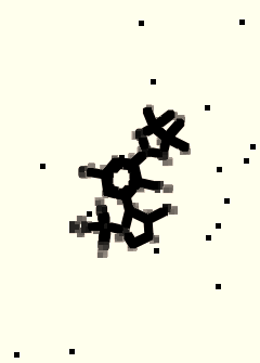 CC1(C)OB(c2cc(Cl)cc(C3C(F)CCN3S(N)(=O)=O)c2F)OC1(C)C